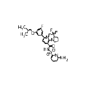 CC(C)COc1cc(F)cc(-c2ccc(C(=O)NS(=O)(=O)c3cccc(N)n3)c(N3CCCC3C(F)(F)F)n2)c1